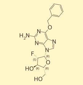 Nc1nc(OCc2ccccc2)c2ncn([C@@H]3O[C@H](CO)[C@@H](O)[C@@H]3F)c2n1